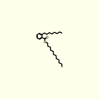 CCCCCCCCCCCCOC(=O)c1ccccc1CCCCCCCC